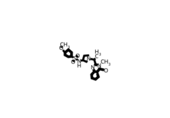 COc1ccc(S(=O)(=O)NC2CCN(C(C)c3nc4ccccc4c(=O)n3C)C2)cc1